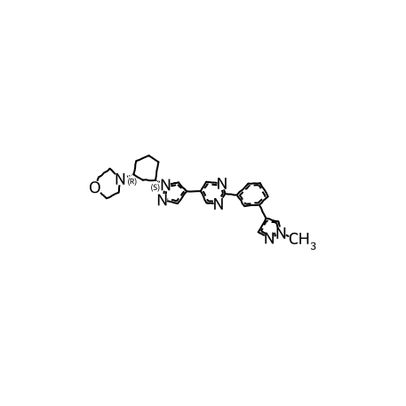 Cn1cc(-c2cccc(-c3ncc(-c4cnn([C@H]5CCC[C@@H](N6CCOCC6)C5)c4)cn3)c2)cn1